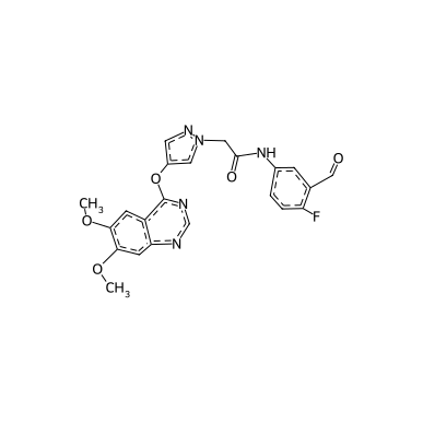 COc1cc2ncnc(Oc3cnn(CC(=O)Nc4ccc(F)c(C=O)c4)c3)c2cc1OC